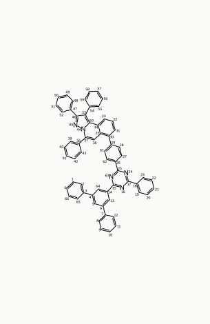 c1ccc(-c2cc(-c3ccccc3)cc(-c3nc(-c4ccccc4)nc(-c4ccc(-c5cccc6c5cc(-c5ccccc5)n5nc(-c7ccccc7)c(-c7ccccc7)c65)cc4)n3)c2)cc1